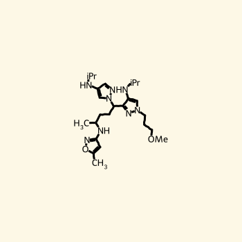 COCCCn1cc(NC(C)C)c(C(CCC(C)Nc2cc(C)on2)n2cc(NC(C)C)cn2)n1